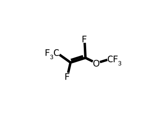 FC(OC(F)(F)F)=C(F)C(F)(F)F